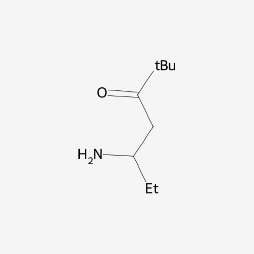 CCC(N)CC(=O)C(C)(C)C